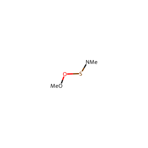 CNSOOC